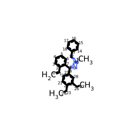 C=Cc1ccccc1/C(=N\N(C)Cc1ccccc1)c1ccc(CC)c(CC)c1